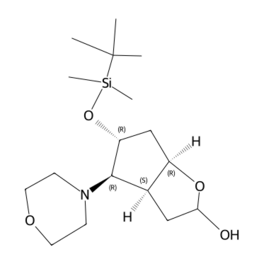 CC(C)(C)[Si](C)(C)O[C@@H]1C[C@H]2OC(O)C[C@H]2[C@H]1N1CCOCC1